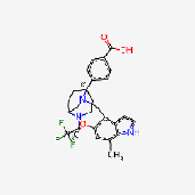 COc1cc(C)c2[nH]ccc2c1CN1CC2CC[C@]1(c1ccc(C(=O)O)cc1)CCN2CC(F)(F)F